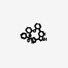 O=S(=O)(c1ccccc1)n1cc(C2CNC3N=CC(C4C=CCCC4OC4CCCCC4)CC32)cn1